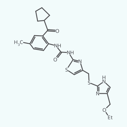 CCOCc1c[nH]c(SCc2csc(NC(=O)Nc3ccc(C)cc3C(=O)C3CCCC3)n2)n1